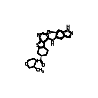 C[C@H]1COCCN1C(=O)[C@H]1CCc2c(sc3ncnc(Nc4cc5cn[nH]c5cc4Br)c23)C1